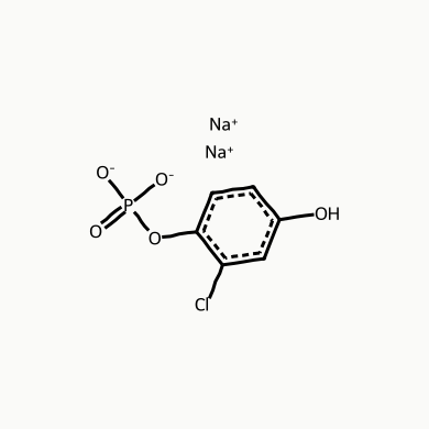 O=P([O-])([O-])Oc1ccc(O)cc1Cl.[Na+].[Na+]